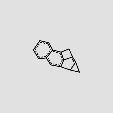 c1ccc2c3c4c(cc2c1)C1CC1=C4C3